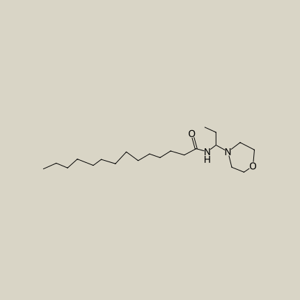 CCCCCCCCCCCCCC(=O)NC(CC)N1CCOCC1